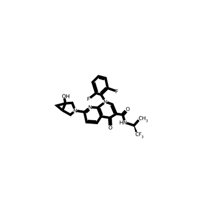 C[C@H](NC(=O)c1cn(-c2c(F)cccc2F)c2nc(N3CC4CC4(O)C3)ccc2c1=O)C(F)(F)F